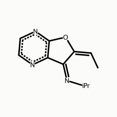 C/C=C1/Oc2nccnc2/C1=N/C(C)C